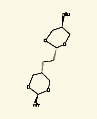 CCCC[C@H]1CO[C@H](CC[C@H]2CO[C@H](CCC)OC2)OC1